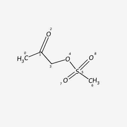 CC(=O)COS(C)(=O)=O